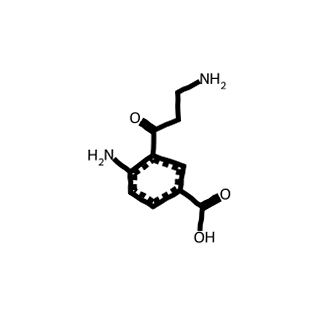 NCCC(=O)c1cc(C(=O)O)ccc1N